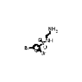 NCCNS(=O)(=O)c1cc(Br)sc1Br